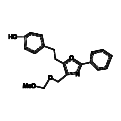 COCOCc1nc(-c2ccccc2)oc1CCc1ccc(O)cc1